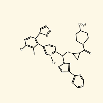 O=C(O)C1CCN(C(=O)[C@H]2C[C@@H]2CC(c2ccc(-c3c(-n4cnnn4)ccc(Cl)c3F)c[n+]2[O-])n2cc(-c3ccccc3)cn2)CC1